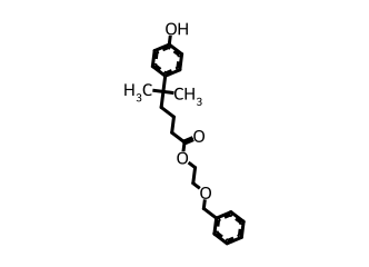 CC(C)(CCCC(=O)OCCOCc1ccccc1)c1ccc(O)cc1